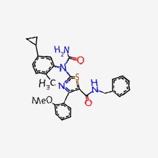 COc1ccccc1-c1nc(N(C(N)=O)c2cc(C3CC3)ccc2C)sc1C(=O)NCc1ccccc1